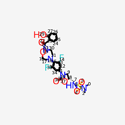 CN(C)S(=O)(=O)NC[C@H]1CN(c2cc(F)c(N3CCON(C(=O)c4ccccc4O)CC3)c(F)c2)C(=O)O1